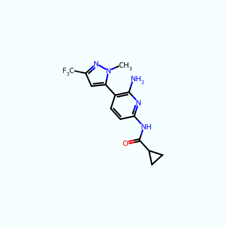 Cn1nc(C(F)(F)F)cc1-c1ccc(NC(=O)C2CC2)nc1N